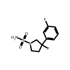 NS(=O)(=O)N1CCC(F)(c2cccc(F)c2)C1